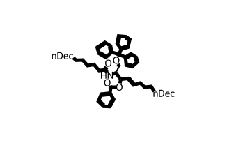 CCCCCCCCCCCCC/C=C/C(OC(=O)c1ccccc1)[C@H](COC(c1ccccc1)(c1ccccc1)c1ccccc1)NC(=O)CCCCCCCCCCCCCCC